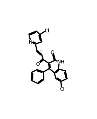 O=C(/C=C/c1cc(Cl)ccn1)c1c(-c2ccccc2)c2cc(Cl)ccc2[nH]c1=O